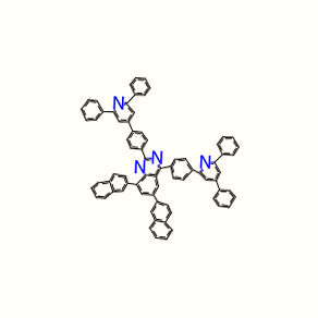 c1ccc(-c2cc(-c3ccccc3)nc(-c3ccc(-c4nc(-c5ccc(-c6cc(-c7ccccc7)nc(-c7ccccc7)c6)cc5)nc5c(-c6ccc7ccccc7c6)cc(-c6ccc7ccccc7c6)cc45)cc3)c2)cc1